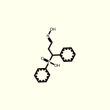 O=P(O)(c1ccccc1)C(CC=NO)c1ccccc1